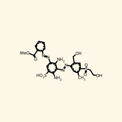 COC(=O)c1ccccc1/N=N/c1cc(S(=O)(=O)O)c(N)c(/N=N/c2cc(C)c(S(=O)(=O)CCO)cc2CO)c1N